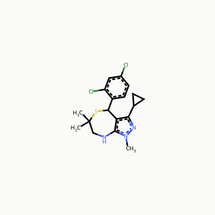 Cn1nc(C2CC2)c2c1NCC(C)(C)SC2c1ccc(Cl)cc1Cl